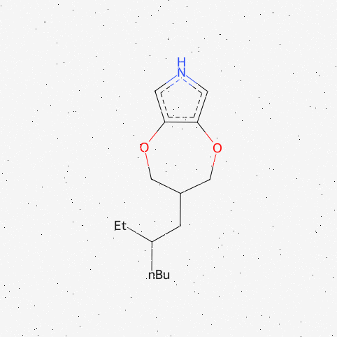 CCCCC(CC)CC1COc2c[nH]cc2OC1